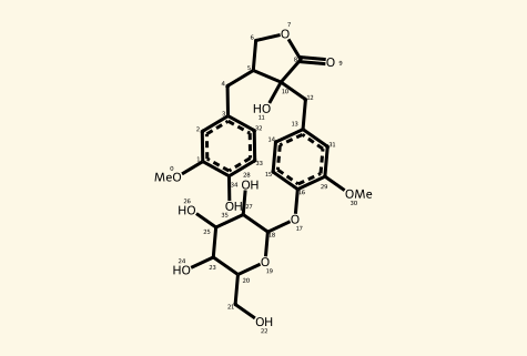 COc1cc(CC2COC(=O)C2(O)Cc2ccc(OC3OC(CO)C(O)C(O)C3O)c(OC)c2)ccc1O